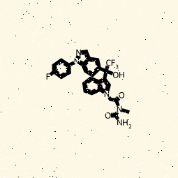 CN(C(N)=O)C(=O)Cn1cc(C(O)(c2ccc3c(cnn3-c3ccc(F)cc3)c2)C(F)(F)F)c2ccccc21